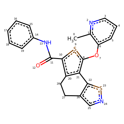 Cc1ncccc1Oc1sc(C(=O)Nc2ccccc2)c2c1-c1sncc1CC2